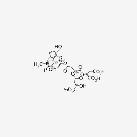 CN1CC[C@]23c4c5ccc(CO)c4O[C@H]2C(OC(=O)C[C@H](OC(=O)C[C@H](O)C(=O)O)C(=O)O[C@@H](CC(=O)O)C(=O)O)=CC[C@@]3(O)[C@H]1C5